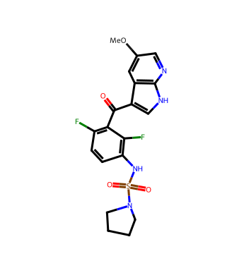 COc1cnc2[nH]cc(C(=O)c3c(F)ccc(NS(=O)(=O)N4CCCC4)c3F)c2c1